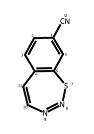 N#Cc1ccc2c(c1)SN=NC=C2